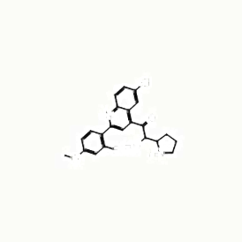 COc1ccc(-c2cc(C(=O)C(O)C3CCCN3)c3cc(Cl)ccc3n2)c(F)c1